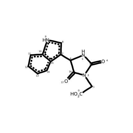 O=C(O)CN1C(=O)NC(c2c[nH]c3ccccc23)C1=O